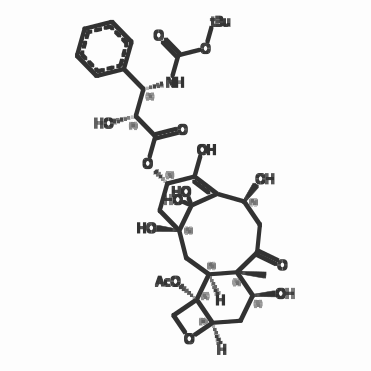 CC(=O)O[C@@]12CO[C@@H]1C[C@H](O)[C@@]1(C)C(=O)C[C@H](O)C3=C(O)[C@@H](OC(=O)[C@H](O)[C@@H](NC(=O)OC(C)(C)C)c4ccccc4)C[C@@](O)(C[C@H]21)C3(O)O